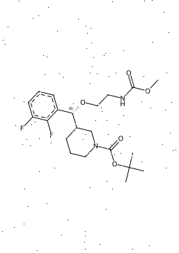 COC(=O)NCCO[C@@H](c1cccc(F)c1F)C1CCCN(C(=O)OC(C)(C)C)C1